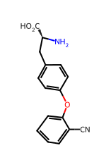 N#Cc1ccccc1Oc1ccc(C[C@H](N)C(=O)O)cc1